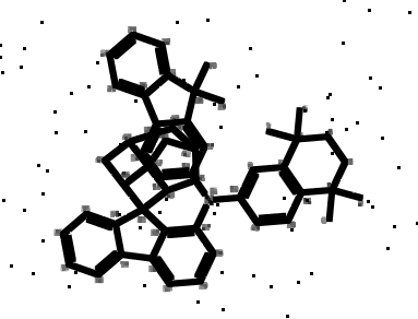 CC1(C)CCC(C)(C)c2cc(N(c3ccc4c(c3)C(C)(C)c3ccccc3-4)c3cccc4c3C3(c5ccccc5-4)C4CC5CC6CC3C64C5)ccc21